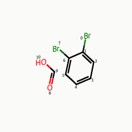 Brc1ccccc1Br.O=CO